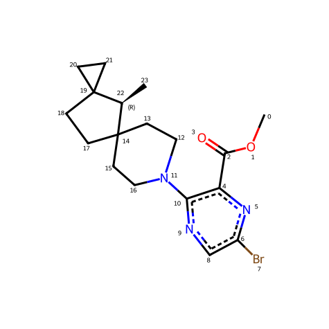 COC(=O)c1nc(Br)cnc1N1CCC2(CC1)CCC1(CC1)[C@H]2C